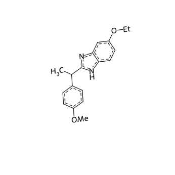 CCOc1ccc2[nH]c(C(C)c3ccc(OC)cc3)nc2c1